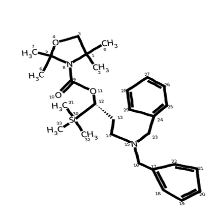 CC1(C)COC(C)(C)N1C(=O)O[C@H](CCN(Cc1ccccc1)Cc1ccccc1)[Si](C)(C)C